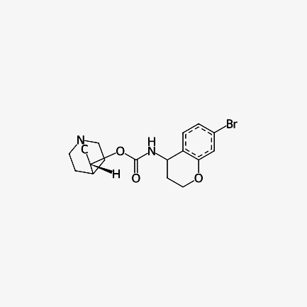 O=C(NC1CCOc2cc(Br)ccc21)O[C@H]1CN2CCC1CC2